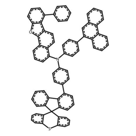 c1ccc(-c2cccc3oc4c5cccc(N(c6ccc(-c7cccc8c7-c7ccccc7C87c8ccccc8Sc8ccccc87)cc6)c6ccc(-c7cc8ccccc8c8ccccc78)cc6)c5ccc4c23)cc1